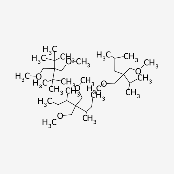 CCC(C)C(COC)(COC)C(C)CC.COCC(COC)(C(C)(C)C)C(C)(C)C.COCC(COC)(CC(C)C)C(C)C